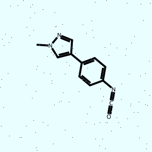 Cn1cc(-c2ccc(N=C=O)cc2)cn1